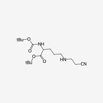 CC(C)(C)OC(=O)NC(CCCNCCC#N)C(=O)OC(C)(C)C